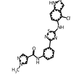 Cn1cc(C(=O)Nc2cccc(-c3nsc(Nc4ccc5[nH]ncc5c4Cl)n3)c2)cn1